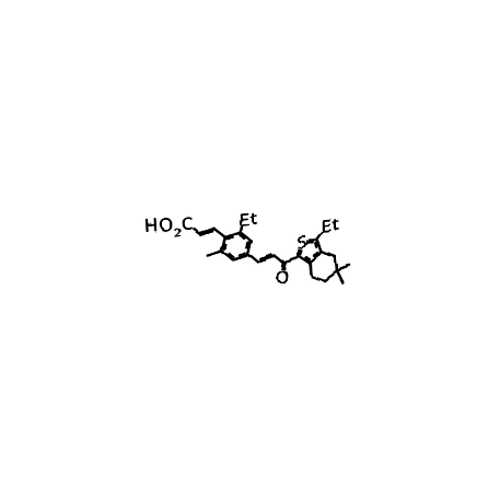 CCc1cc(/C=C/C(=O)c2sc(CC)c3c2CCC(C)(C)C3)cc(C)c1/C=C/C(=O)O